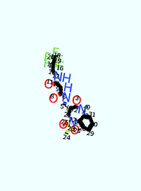 CN1C(=O)[C@@H](CNC(=O)CC(=O)NCC(F)(F)C(F)(F)F)CN(S(C)(=O)=O)c2ccccc21